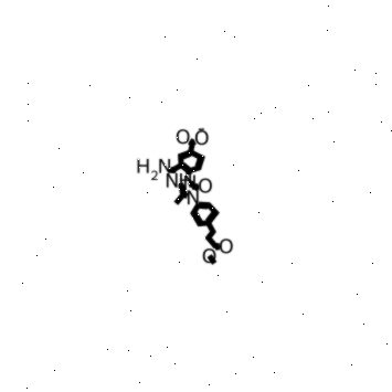 COC(=O)CCc1ccc(-n2c(C)cn(-c3ccc(C(=O)OC)cc3C(=N)N)c2=O)cc1